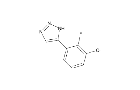 [O]c1cccc(-c2cnn[nH]2)c1F